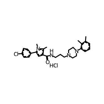 Cc1cccc(N2CCN(CCCNC(=O)c3cc(-c4ccc(Cl)cc4)n(C)c3C)CC2)c1C.Cl